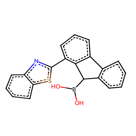 OB(O)C1c2ccccc2-c2cccc(-c3nc4ccccc4s3)c21